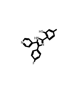 Cc1ccc(-c2nc(-c3ccc(F)cc3)c(-c3ccncc3)[nH]2)c(S)c1